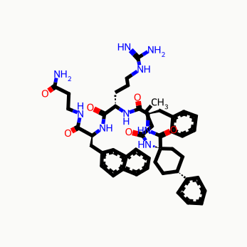 CCCC(=O)N[C@]1(C(=O)N[C@H](Cc2ccccc2)C(=O)N[C@@H](CCCNC(=N)N)C(=O)N[C@@H](Cc2ccc3ccccc3c2)C(=O)NCCC(N)=O)CC[C@H](c2ccccc2)CC1